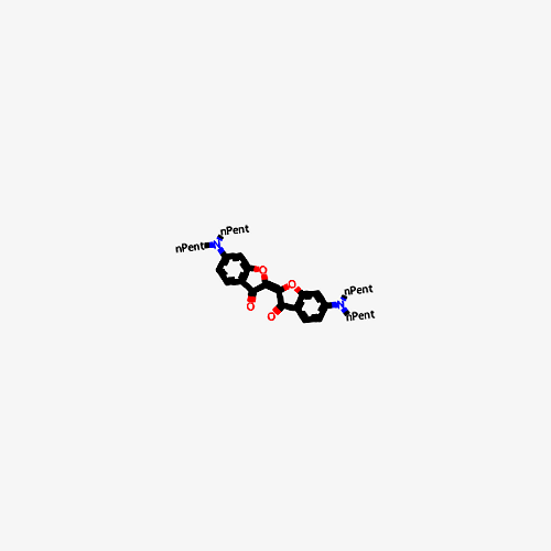 CCCCCN(CCCCC)c1ccc2c(c1)OC(=C1Oc3cc(N(CCCCC)CCCCC)ccc3C1=O)C2=O